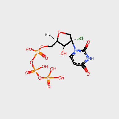 CC[C@]1(COP(=O)(O)OP(=O)(O)OP(=O)(O)O)OC[C@@](Cl)(n2ccc(=O)[nH]c2=O)[C@@H]1O